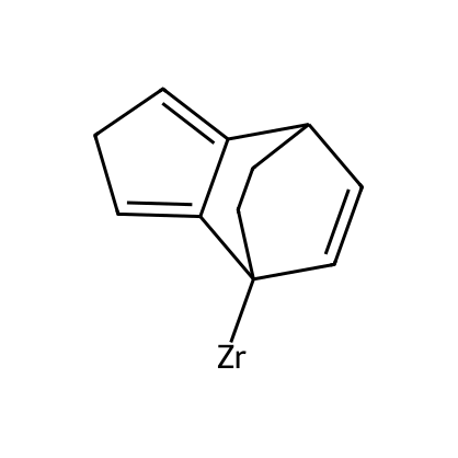 [Zr][C]12C=CC(CC1)C1=CCC=C12